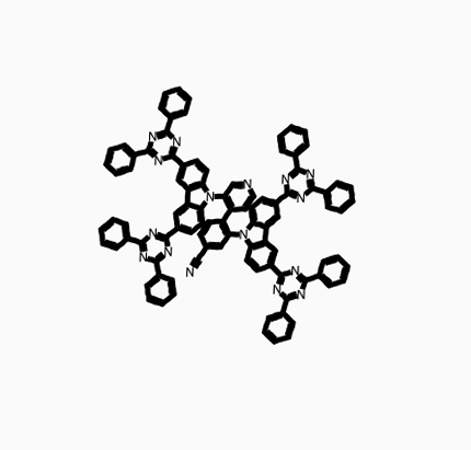 N#Cc1ccc(-c2ccncc2-n2c3ccc(-c4nc(-c5ccccc5)nc(-c5ccccc5)n4)cc3c3cc(-c4nc(-c5ccccc5)nc(-c5ccccc5)n4)ccc32)c(-n2c3ccc(-c4nc(-c5ccccc5)nc(-c5ccccc5)n4)cc3c3cc(-c4nc(-c5ccccc5)nc(-c5ccccc5)n4)ccc32)c1